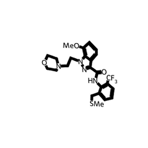 COc1cccc2c(C(=O)Nc3c(CSC)cccc3C(F)(F)F)nn(CCN3CCOCC3)c12